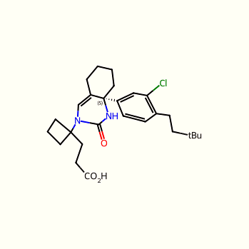 CC(C)(C)CCc1ccc([C@@]23CCCCC2=CN(C2(CCC(=O)O)CCC2)C(=O)N3)cc1Cl